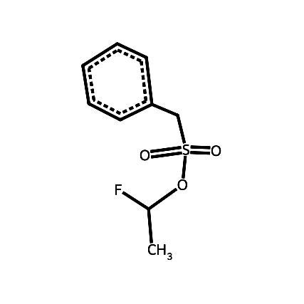 CC(F)OS(=O)(=O)Cc1ccccc1